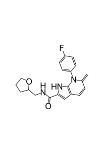 C=C1C=Cc2cc(C(=O)NCC3CCCO3)[nH]c2N1c1ccc(F)cc1